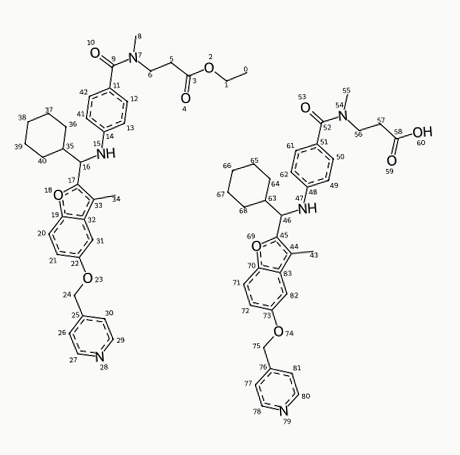 CCOC(=O)CCN(C)C(=O)c1ccc(NC(c2oc3ccc(OCc4ccncc4)cc3c2C)C2CCCCC2)cc1.Cc1c(C(Nc2ccc(C(=O)N(C)CCC(=O)O)cc2)C2CCCCC2)oc2ccc(OCc3ccncc3)cc12